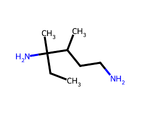 CCC(C)(N)C(C)CCN